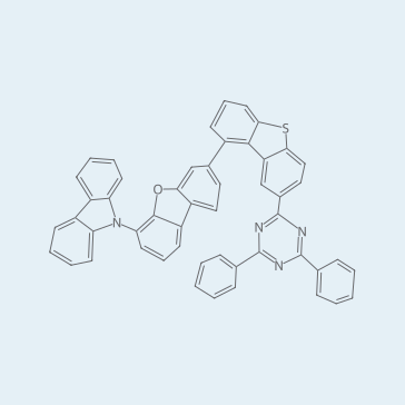 c1ccc(-c2nc(-c3ccccc3)nc(-c3ccc4sc5cccc(-c6ccc7c(c6)oc6c(-n8c9ccccc9c9ccccc98)cccc67)c5c4c3)n2)cc1